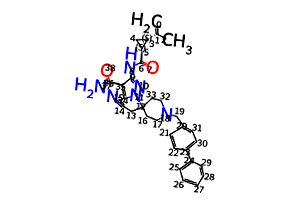 C=C(C)[C@H]1C[C@@H]1C(=O)Nc1nn(C2(CC#N)CCN(Cc3ccc(-c4ccccc4)cc3)CC2)cc1C(N)=O